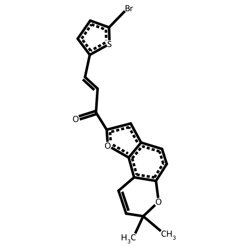 CC1(C)C=Cc2c(ccc3cc(C(=O)/C=C/c4ccc(Br)s4)oc23)O1